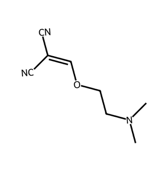 CN(C)CCOC=C(C#N)C#N